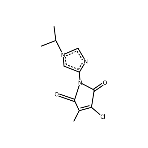 CC1=C(Cl)C(=O)N(c2cn(C(C)C)cn2)C1=O